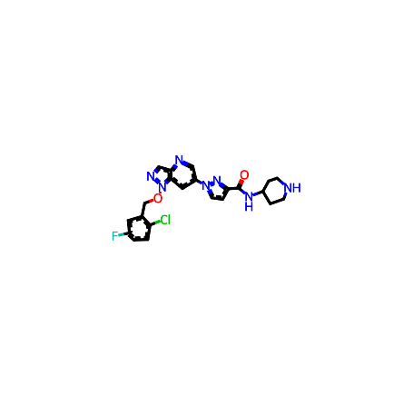 O=C(NC1CCNCC1)c1ccn(-c2cnc3cnn(OCc4cc(F)ccc4Cl)c3c2)n1